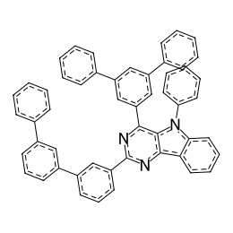 c1ccc(-c2cccc(-c3cccc(-c4nc(-c5cc(-c6ccccc6)cc(-c6ccccc6)c5)c5c(n4)c4ccccc4n5-c4ccccc4)c3)c2)cc1